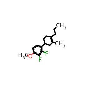 CCCC1=C(C)CC(c2ccc(OC)c(F)c2F)CC1